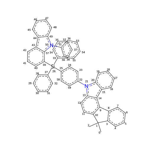 CC1(C)c2ccccc2-c2c1ccc1c2c2ccccc2n1-c1ccc([Si](c2ccccc2)(c2ccccc2)c2cccc3c4ccccc4n(-c4ccccc4)c23)cc1